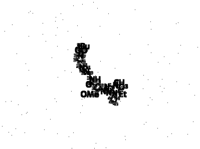 CCC1C(=O)N(C)c2cnc(Nc3ccc(C(=O)NCCN4CCN(CC5CCN(C(=O)OC(C)(C)C)CC5)CC4)cc3OC)nc2N1C1CCCC1